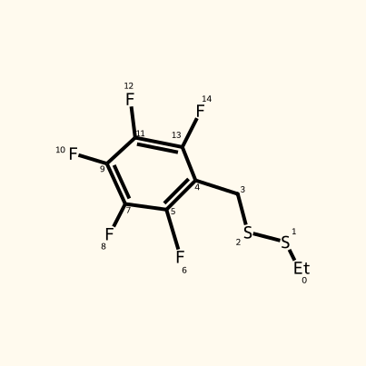 CCSSCc1c(F)c(F)c(F)c(F)c1F